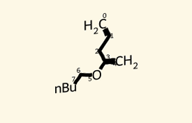 C=CCC(=C)OCCCCC